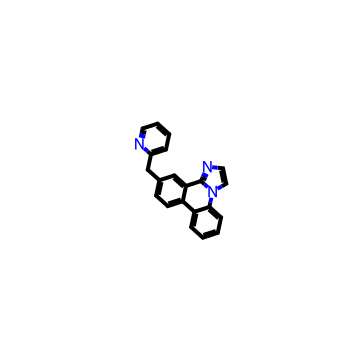 c1ccc(Cc2ccc3c4ccccc4n4ccnc4c3c2)nc1